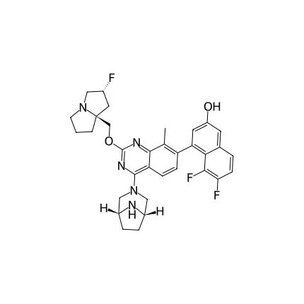 Cc1c(-c2cc(O)cc3ccc(F)c(F)c23)ccc2c(N3C[C@H]4CC[C@@H](C3)N4)nc(OC[C@@]34CCCN3C[C@H](F)C4)nc12